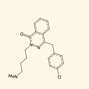 CNCCCCn1nc(Cc2ccc(Cl)cc2)c2ccccc2c1=O